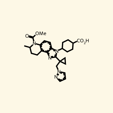 COC(=O)N1c2ccc3c(nc(C4(Cn5cccn5)CC4)n3C3CCC(C(=O)O)CC3)c2CCC1C